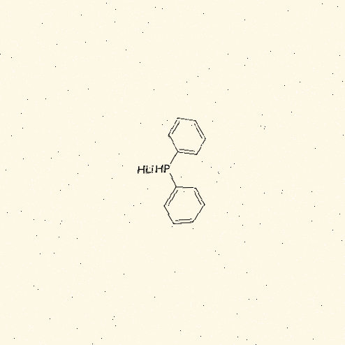 [LiH].c1ccc(Pc2ccccc2)cc1